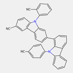 N#Cc1ccc(-n2c3ccccc3c3cccc(-c4ccc5c6cc(C#N)ccc6n(-c6ccccc6C#N)c5c4)c32)cc1